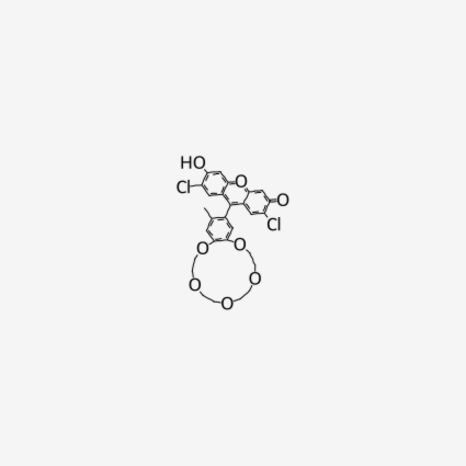 Cc1cc2c(cc1-c1c3cc(Cl)c(=O)cc-3oc3cc(O)c(Cl)cc13)OCCOCCOCCOCCO2